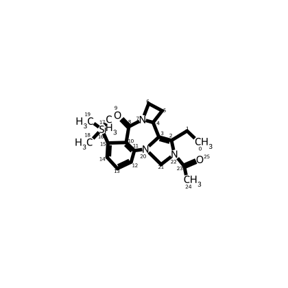 CCC1=C2C3CCN3C(=O)c3c(cccc3[Si](C)(C)C)N2CN1C(C)=O